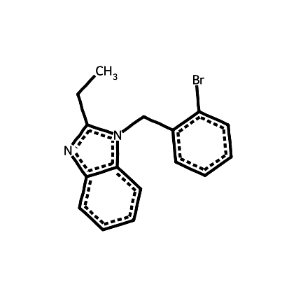 CCc1nc2ccccc2n1Cc1ccccc1Br